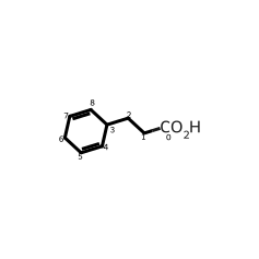 O=C(O)CCC1C=CCC=C1